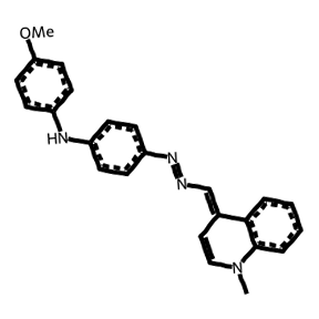 COc1ccc(Nc2ccc(N=N/C=C3\C=CN(C)c4ccccc43)cc2)cc1